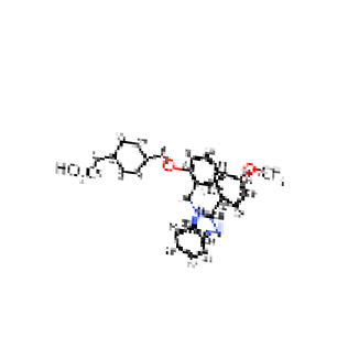 O=C(O)CC1CCC(COc2ccccc2Cn2c(-c3ccc(OC(F)(F)F)cc3)nc3ccccc32)CC1